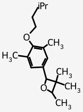 Cc1cc(C2OC(C)C2(C)C)cc(C)c1OCCC(C)C